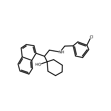 OC1(C(CNCc2cccc(Cl)c2)c2cccc3ccccc23)CCCCC1